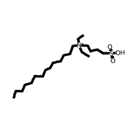 CCCCCCCCCCCCCC[N+](CC)(CC)CCCCS(=O)(=O)O